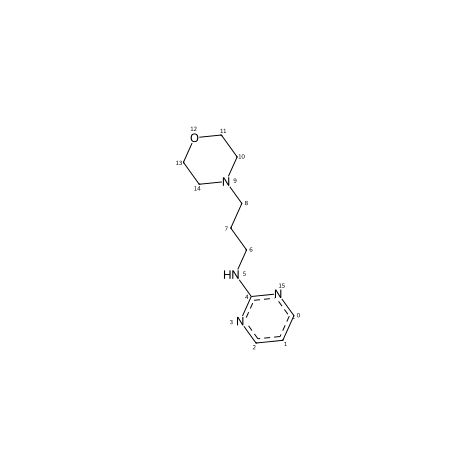 [c]1ccnc(NCCCN2CCOCC2)n1